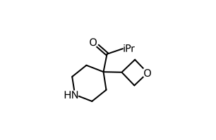 CC(C)C(=O)C1(C2COC2)CCNCC1